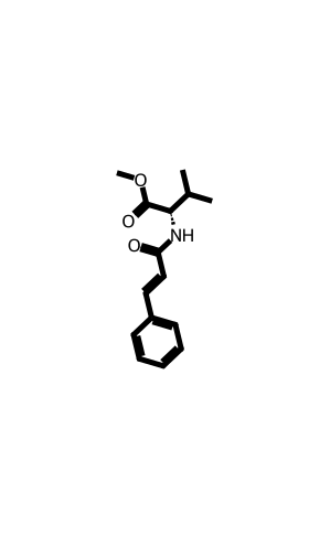 COC(=O)[C@@H](NC(=O)C=Cc1ccccc1)C(C)C